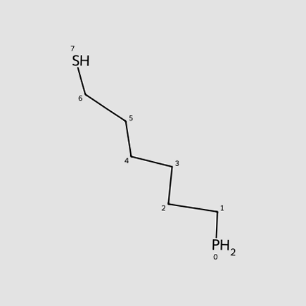 PCCCCCCS